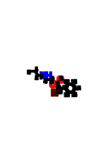 CCCNCCOC(=O)C(Br)c1ccccc1